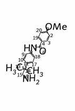 COc1ccc(C(=O)Nc2ccc(C(C)(C)CN)cc2)cc1